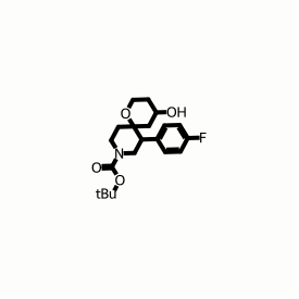 CC(C)(C)OC(=O)N1CCC2(CC(O)CCO2)C(c2ccc(F)cc2)C1